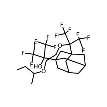 CCC(C)OCCOC(C(F)(F)F)(C(F)(F)F)C12CC3CC(CC(C(O)(C(F)(F)F)C(F)(F)F)(C3)C1)C2